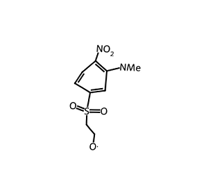 CNc1cc(S(=O)(=O)CC[O])ccc1[N+](=O)[O-]